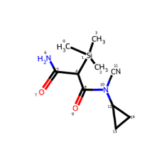 C[Si](C)(C)C(C(N)=O)C(=O)N(C#N)C1CC1